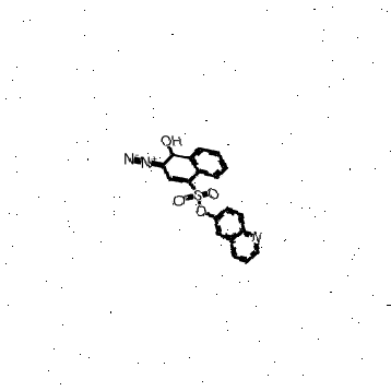 [N-]=[N+]=C1C=C(S(=O)(=O)Oc2ccc3ncccc3c2)c2ccccc2C1O